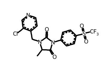 CC1C(=O)N(c2ccc(S(=O)(=O)C(F)(F)F)cc2)C(=O)N1Cc1ccncc1Cl